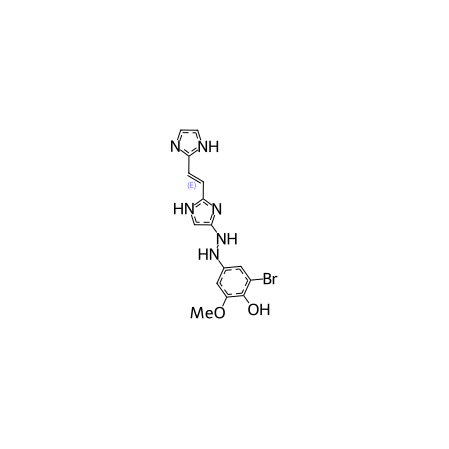 COc1cc(NNc2c[nH]c(/C=C/c3ncc[nH]3)n2)cc(Br)c1O